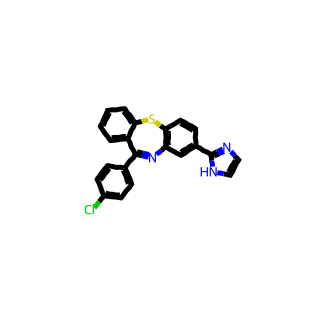 Clc1ccc(C2=Nc3cc(-c4ncc[nH]4)ccc3Sc3ccccc32)cc1